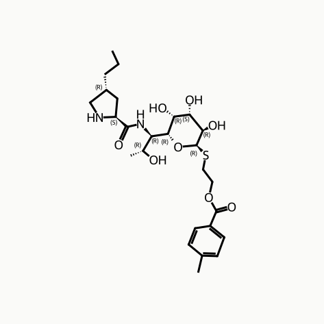 CCC[C@H]1CN[C@H](C(=O)N[C@@H]([C@H]2O[C@H](SCCOC(=O)c3ccc(C)cc3)[C@H](O)[C@@H](O)[C@H]2O)[C@@H](C)O)C1